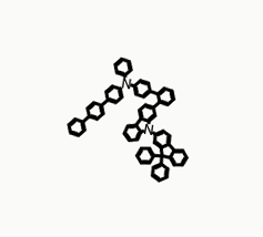 c1ccc(-c2ccc(-c3ccc(N(c4ccccc4)c4ccc(-c5ccccc5-c5ccc6c7ccccc7n(-c7ccc8c(c7)C(c7ccccc7)(c7ccccc7)c7ccccc7-8)c6c5)cc4)cc3)cc2)cc1